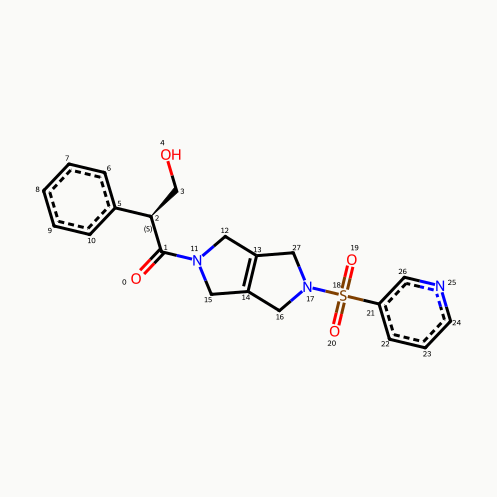 O=C([C@H](CO)c1ccccc1)N1CC2=C(C1)CN(S(=O)(=O)c1cccnc1)C2